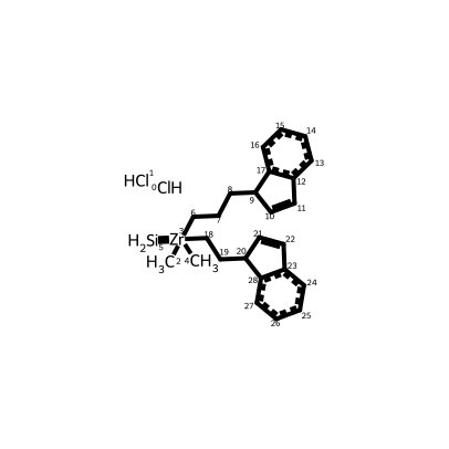 Cl.Cl.[CH3][Zr]([CH3])(=[SiH2])([CH2]CCC1C=Cc2ccccc21)[CH2]CC1C=Cc2ccccc21